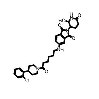 O=C1CCC(N2C(=O)c3ccc(NCCCCCC(=O)N4CCC(c5ccccc5Cl)CC4)cc3C2=O)C(O)N1